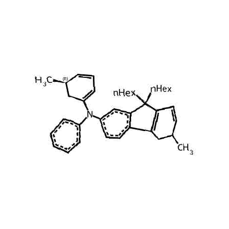 CCCCCCC1(CCCCCC)C2=C(CC(C)C=C2)c2ccc(N(C3=CC=C[C@H](C)C3)c3ccccc3)cc21